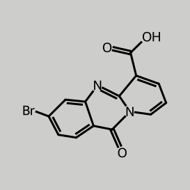 O=C(O)c1cccn2c(=O)c3ccc(Br)cc3nc12